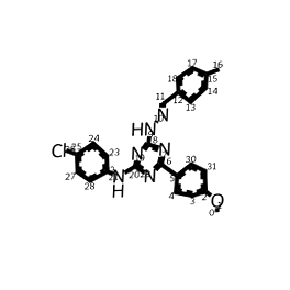 COc1ccc(-c2nc(NN=Cc3ccc(C)cc3)nc(Nc3ccc(Cl)cc3)n2)cc1